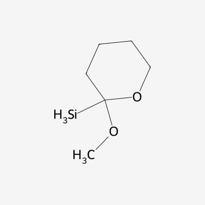 COC1([SiH3])CCCCO1